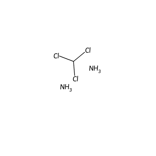 ClC(Cl)Cl.N.N